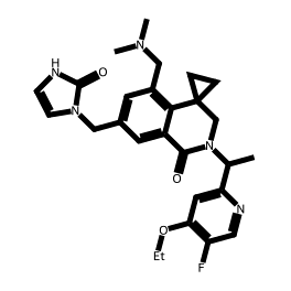 CCOc1cc(C(C)N2CC3(CC3)c3c(CN(C)C)cc(Cn4cc[nH]c4=O)cc3C2=O)ncc1F